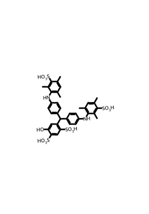 Cc1cc(C)c(S(=O)(=O)O)c(C)c1Nc1ccc(C(c2ccc(Nc3c(C)cc(C)c(S(=O)(=O)O)c3C)cc2)c2cc(O)c(S(=O)(=O)O)cc2S(=O)(=O)O)cc1